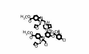 COC(=O)c1ccc2nc(CCl)n(C[C@@H]3CCO3)c2c1.COC(=O)c1ccc2nc(CN3CCN(c4cccc5c4OC(C)(c4ccc(Cl)cc4F)O5)[C@H]4CC[C@H]43)n(C[C@@H]3CCO3)c2c1